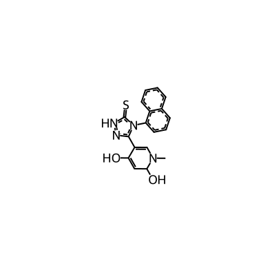 CN1C=C(c2n[nH]c(=S)n2-c2cccc3ccccc23)C(O)=CC1O